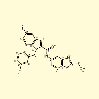 O=C(Nc1cnc2sc(CO)nc2c1)c1cc2cc(F)ccc2n1Cc1cccc(F)c1